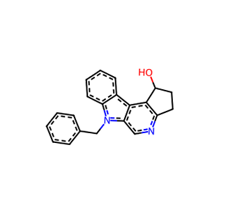 OC1CCc2ncc3c(c21)c1ccccc1n3Cc1ccccc1